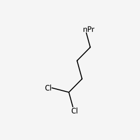 CCCCCCC(Cl)Cl